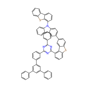 c1ccc(-c2cc(-c3ccccc3)cc(-c3cccc(-c4nc(-c5ccccc5)nc(-c5cccc6sc7ccc(-c8ccc9c(c8)c8ccccc8n9-c8cccc9c8sc8ccccc89)cc7c56)n4)c3)c2)cc1